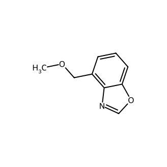 COCc1cccc2ocnc12